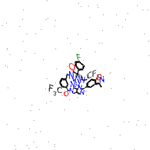 Cc1noc2ccc(-c3ncc4c(n3)CN(C(=O)c3cc(CN5C(=N)N[C@](CCCC(F)(F)F)(c6ccc(F)cc6)C5=O)ccc3C(F)(F)F)C4)cc12